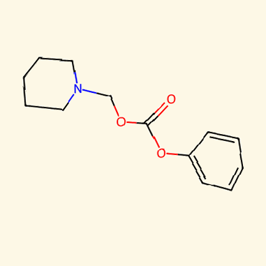 O=C(OCN1CCCCC1)Oc1ccccc1